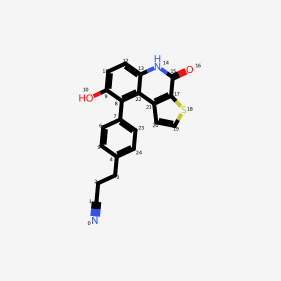 N#CCCc1ccc(-c2c(O)ccc3[nH]c(=O)c4sccc4c23)cc1